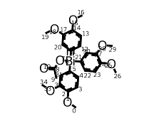 COc1cc[c]([BiH]([O]C(C)=O)([c]2ccc(OC)c(OC)c2)[c]2ccc(OC)c(OC)c2)cc1OC